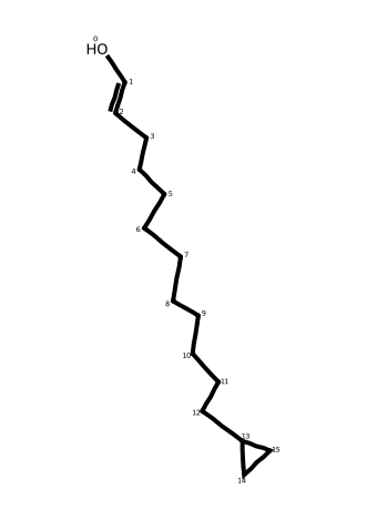 OC=CCCCCCCCCCCC1CC1